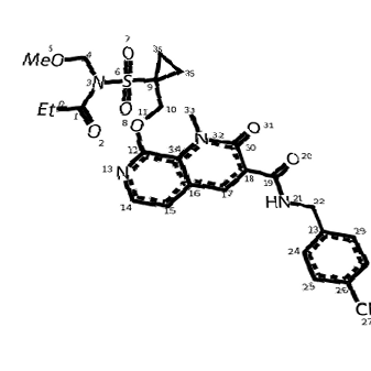 CCC(=O)N(COC)S(=O)(=O)C1(COc2nccc3cc(C(=O)NCc4ccc(C#N)cc4)c(=O)n(C)c23)CC1